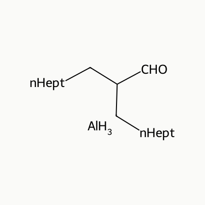 CCCCCCCCC(C=O)CCCCCCCC.[AlH3]